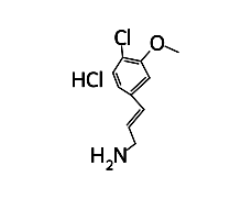 COc1cc(C=CCN)ccc1Cl.Cl